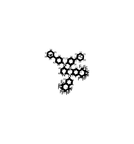 FC1(F)c2ccc(N3c4cc5c(cc4B4c6cc(C78CCC(CC7)CC8)ccc6N(c6ccc(C78CCC(CC7)CC8)cc6)c6ccnc3c64)C(F)(F)C(F)(F)C(F)(F)C5(F)F)cc2C(F)(F)C(F)(F)C1(F)F